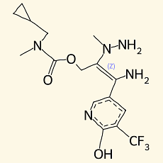 CN(CC1CC1)C(=O)OC/C(=C(/N)c1cnc(O)c(C(F)(F)F)c1)N(C)N